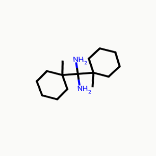 CC1(C(N)(N)C2(C)CCCCC2)CCCCC1